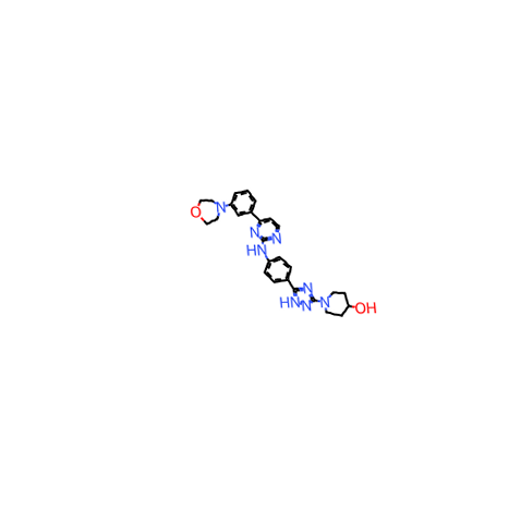 OC1CCN(c2n[nH]c(-c3ccc(Nc4nccc(-c5cccc(N6CCOCC6)c5)n4)cc3)n2)CC1